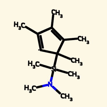 CC1=[C]C(C)([Si](C)(C)N(C)C)C(C)=C1C